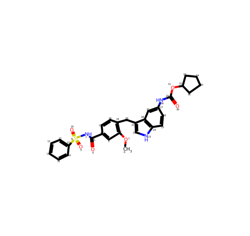 COc1cc(C(=O)NS(=O)(=O)c2ccccc2)ccc1Cc1c[nH]c2ccc(NC(=O)OC3CCCC3)cc12